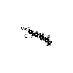 COc1ccc(C(C=O)N2CCC(Oc3ncnc(Oc4ccc(S(C)(=O)=O)cc4F)c3C)CC2)cc1